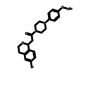 CCCCOc1ccc(N2CCN(C(=O)CC3OCCc4cc(Br)ccc43)CC2)cc1